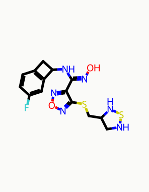 O/N=C(\NC1Cc2ccc(F)cc21)c1nonc1SCC1CNSN1